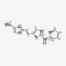 CC(C)(C)c1cnc(/C=C/c2cnc(Nc3ccccn3)s2)o1